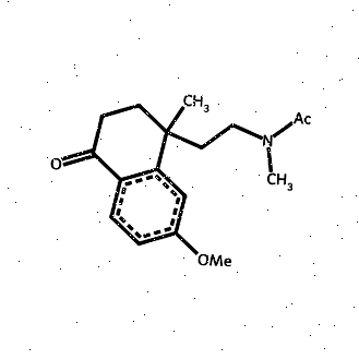 COc1ccc2c(c1)C(C)(CCN(C)C(C)=O)CCC2=O